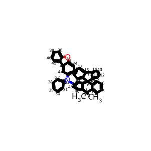 CC1(C)c2ccccc2C2(c3ccccc3-c3ccccc32)c2cc(N(c3ccccc3)c3ccc4oc5ccccc5c4c3)ccc21